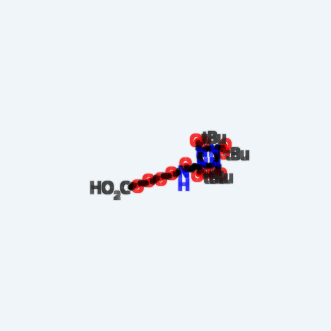 CC(C)(C)OC(=O)CN1CCN(CC(=O)OC(C)(C)C)CCN(C(CCC(=O)NCCOCCOCCOCCOCCC(=O)O)C(=O)OC(C)(C)C)CCN(CC(=O)OC(C)(C)C)CC1